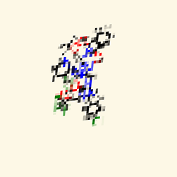 CC(C)(C)OC[C@H](c1nc(Cn2nc(-c3ccc(Cl)cc3)n(C[C@H](O)C(F)(F)F)c2=O)nn1-c1ncccc1Cl)N1C(=O)c2ccccc2C1=O